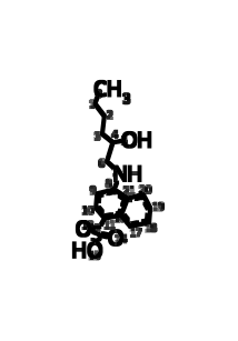 CCCCC(O)CNc1ccc(S(=O)(=O)O)c2ccccc12